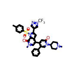 Cc1ccc(S(=O)(=O)n2c(-c3cnn(C(F)(F)F)c3)cc3c(-c4cc(=O)n(C5CCN(C)CC5)cc4-c4ccccc4)cn(C)c(=O)c32)cc1